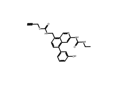 C#CCOC(=O)NCc1ccc(-c2cccc(O)c2)c2cc(NC(=O)NCC)ncc12